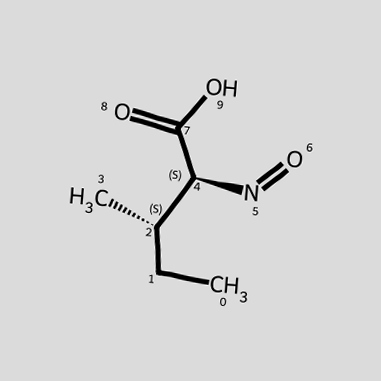 CC[C@H](C)[C@H](N=O)C(=O)O